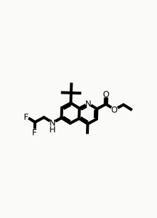 CCOC(=O)c1cc(C)c2cc(NCC(F)F)cc(C(C)(C)C)c2n1